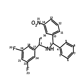 CC(NC(c1ccccc1)c1cccc([N+](=O)[O-])c1)c1cc(F)cc(F)c1